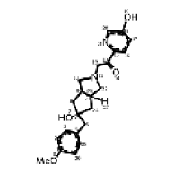 COc1ccc(C[C@@]2(O)CC3CN(CC(=O)c4ccc(O)cn4)C[C@@H]3C2)cc1